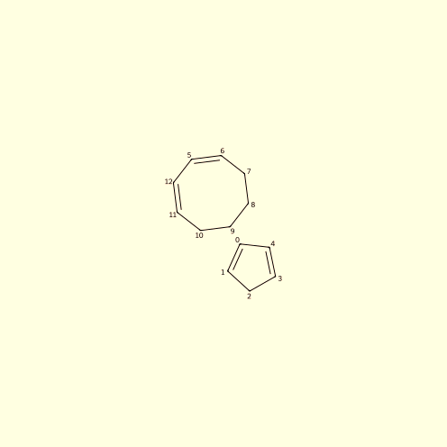 C1=CCC=C1.C1=CCCCCC=C1